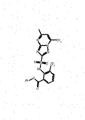 Cc1cc(C(F)(F)F)n2nc(S(=O)(=O)Nc3c(C(=O)OC(C)C)cccc3C(F)(F)F)nc2n1